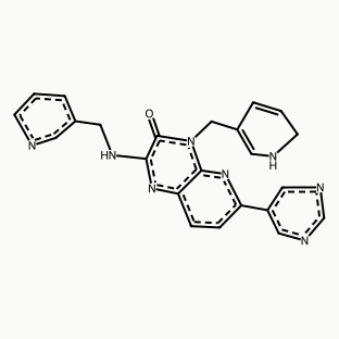 O=c1c(NCc2cccnc2)nc2ccc(-c3cncnc3)nc2n1CC1=CNCC=C1